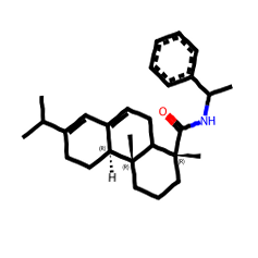 CC(C)C1=CC2=CCC3[C@](C)(C(=O)NC(C)c4ccccc4)CCC[C@]3(C)[C@H]2CC1